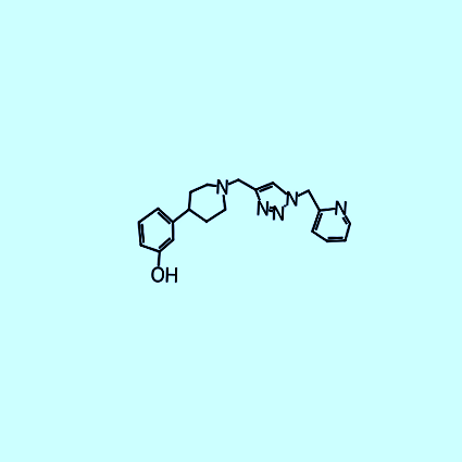 Oc1cccc(C2CCN(Cc3cn(Cc4ccccn4)nn3)CC2)c1